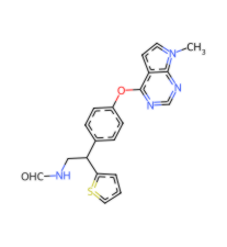 Cn1ccc2c(Oc3ccc(C(CNC=O)c4cccs4)cc3)ncnc21